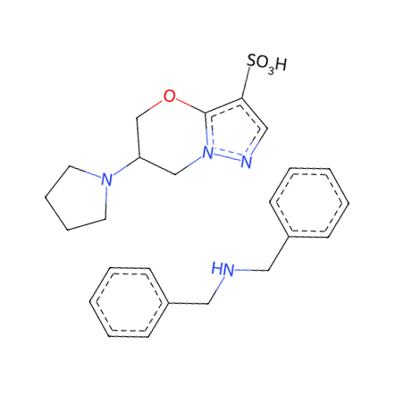 O=S(=O)(O)c1cnn2c1OCC(N1CCCC1)C2.c1ccc(CNCc2ccccc2)cc1